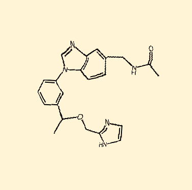 CC(=O)NCc1ccc2c(c1)ncn2-c1cccc(C(C)OCc2ncc[nH]2)c1